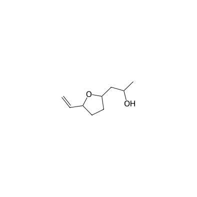 C=CC1CCC(CC(C)O)O1